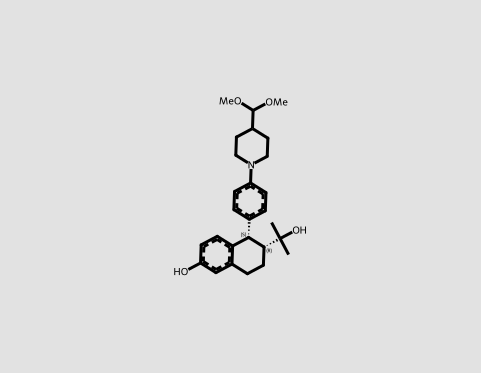 COC(OC)C1CCN(c2ccc([C@H]3c4ccc(O)cc4CC[C@H]3C(C)(C)O)cc2)CC1